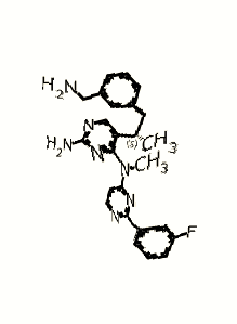 C[C@@H](Cc1cccc(CN)c1)c1cnc(N)nc1N(C)c1ccnc(-c2cccc(F)c2)n1